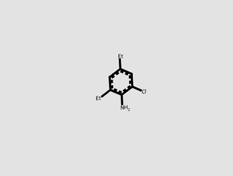 CCc1cc(Cl)c(N)c(CC)c1